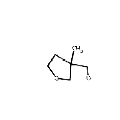 CC1(C[O])CCOC1